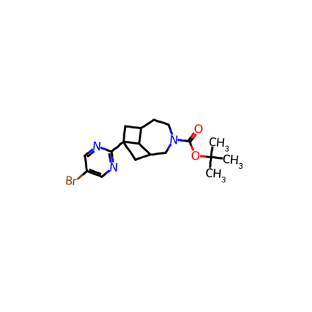 CC(C)(C)OC(=O)N1CCC2CC3(c4ncc(Br)cn4)CC(C1)C23